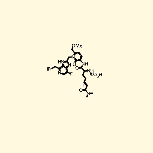 COCc1ccc(NC(=O)C(CC/C=C/C(=O)N(C)C)NC(=O)O)c(=O)n1Cc1nc2c(F)cnc(CC(C)C)c2[nH]1